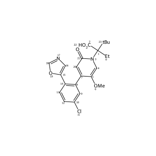 CCC(C(=O)O)(n1cc(OC)c(-c2cc(Cl)ccc2-c2cnco2)cc1=O)C(C)(C)C